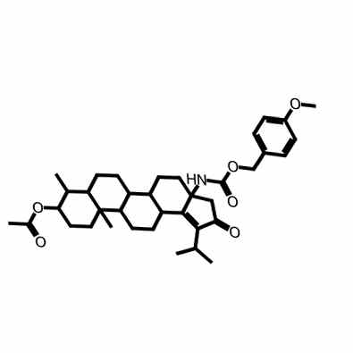 COc1ccc(COC(=O)NC23CCC4C(CCC5C4CCC4C(C)C(OC(C)=O)CCC45C)C2=C(C(C)C)C(=O)C3)cc1